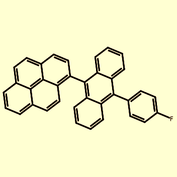 Fc1ccc(-c2c3ccccc3c(-c3ccc4ccc5cccc6ccc3c4c56)c3ccccc23)cc1